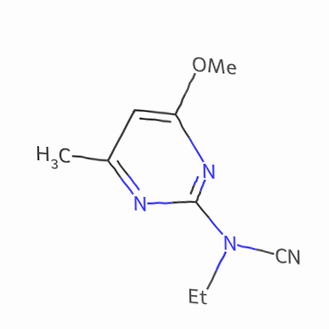 CCN(C#N)c1nc(C)cc(OC)n1